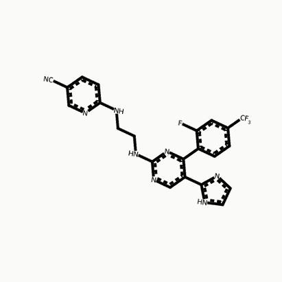 N#Cc1ccc(NCCNc2ncc(-c3ncc[nH]3)c(-c3ccc(C(F)(F)F)cc3F)n2)nc1